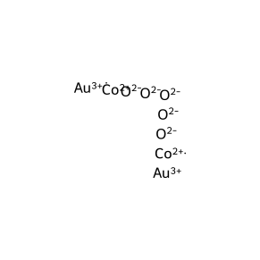 [Au+3].[Au+3].[Co+2].[Co+2].[O-2].[O-2].[O-2].[O-2].[O-2]